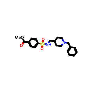 COC(=O)c1ccc(S(=O)(=O)NCC2CCN(Cc3ccccc3)CC2)cc1